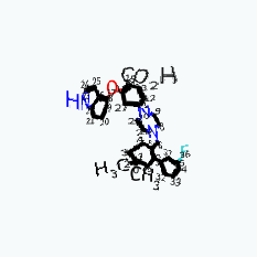 CC1(C)CCC(CN2CCN(c3ccc(C(=O)O)c(Oc4cccc5[nH]ccc45)c3)CC2)=C(c2cccc(F)c2)C1